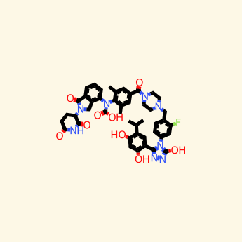 Cc1cc(C(=O)N2CCN(Cc3ccc(-n4c(O)nnc4-c4cc(C(C)C)c(O)cc4O)cc3F)CC2)cc(C)c1N(C(=O)O)c1cccc2c1CN(C1CCC(=O)NC1=O)C2=O